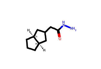 NNC(=O)CC1C[C@H]2CCC[C@H]2C1